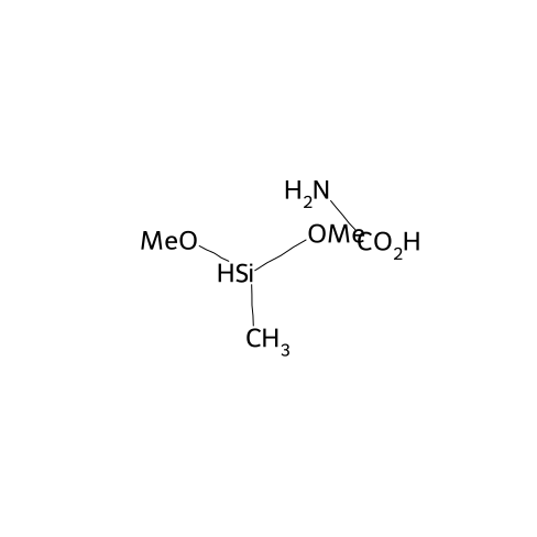 CO[SiH](C)OC.NC(=O)O